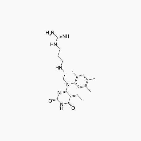 CC=C1C(=O)NC(=O)N=C1N(CCNCCCNC(=N)N)c1cc(C)c(C)cc1C